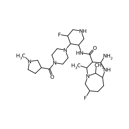 CC1C2CCC(F)CN1C(C)C(C(=O)NC1CNCC(F)C1N1CCN(C(=O)C3CCN(C)C3)CC1)C(N)N2